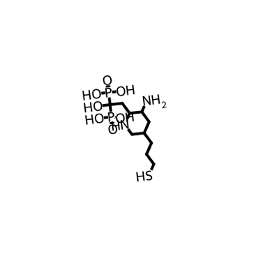 NC1CC(CCCS)CNC1CC(O)(P(=O)(O)O)P(=O)(O)O